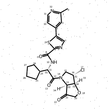 Cc1cc(-c2cnc(C(=O)N[C@H](C(=O)N3C[C@H](Cl)[C@H]4OCC(=O)[C@H]43)C3CCCC3)s2)ccn1